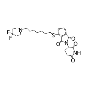 O=C1CCC(N2C(=O)c3cccc(SCCCCCCCN4CCC(F)(F)CC4)c3C2=O)C(=O)N1